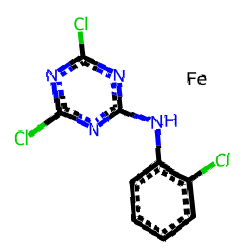 Clc1nc(Cl)nc(Nc2ccccc2Cl)n1.[Fe]